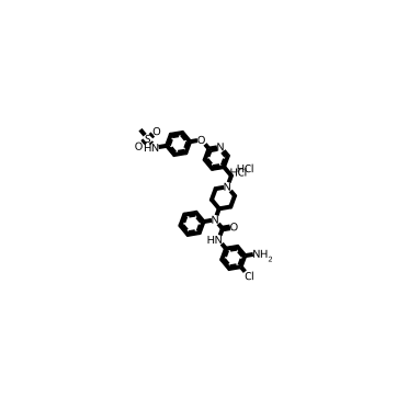 CS(=O)(=O)Nc1ccc(Oc2ccc(CN3CCC(N(C(=O)Nc4ccc(Cl)c(N)c4)c4ccccc4)CC3)cn2)cc1.Cl.Cl